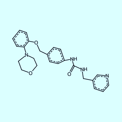 O=C(NCc1cccnc1)Nc1ccc(COc2ccccc2N2CCOCC2)cc1